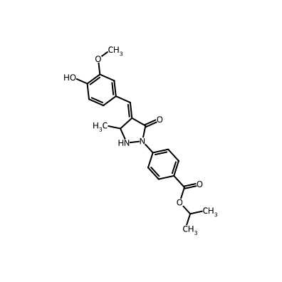 COc1cc(/C=C2/C(=O)N(c3ccc(C(=O)OC(C)C)cc3)NC2C)ccc1O